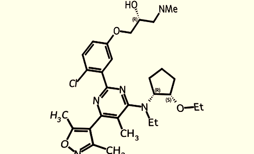 CCO[C@H]1CCC[C@H]1N(CC)c1nc(-c2cc(OC[C@H](O)CNC)ccc2Cl)nc(-c2c(C)noc2C)c1C